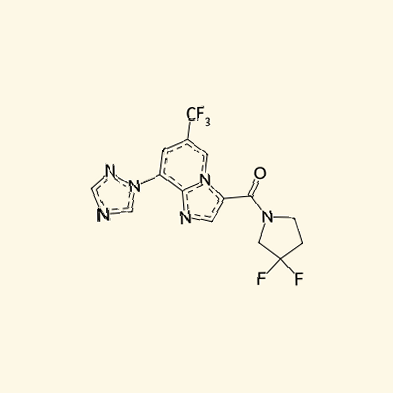 O=C(c1cnc2c(-n3cncn3)cc(C(F)(F)F)cn12)N1CCC(F)(F)C1